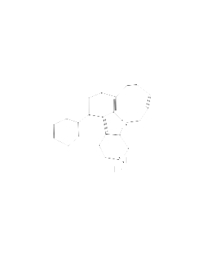 C1=C\CN2C3=C(CC/1)CCC(C1CCCCC1)C3=C1CCNCC12.Cl